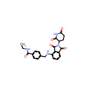 CCNC(=O)c1ccc(CNc2cccc3c2C(=O)N(C2CCC(=O)NC2=O)C3=O)cc1